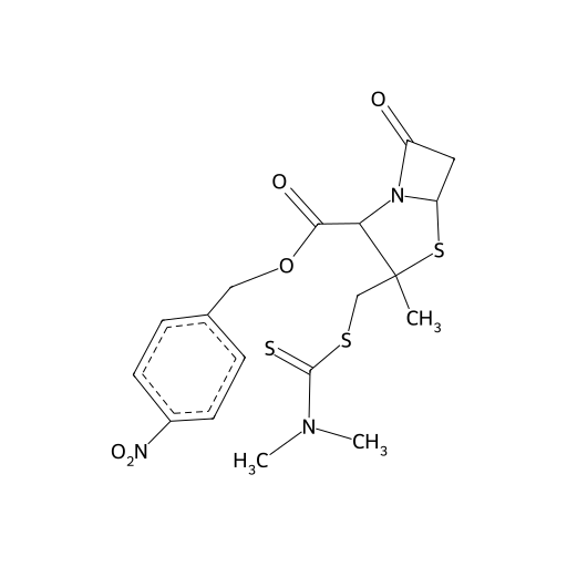 CN(C)C(=S)SCC1(C)SC2CC(=O)N2C1C(=O)OCc1ccc([N+](=O)[O-])cc1